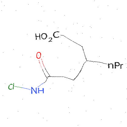 CCCC(CC(=O)O)CC(=O)NCl